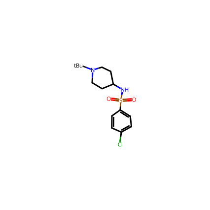 CC(C)(C)N1CCC(NS(=O)(=O)c2ccc(Cl)cc2)CC1